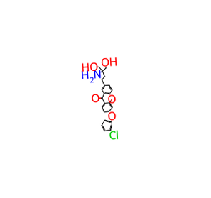 NC(CO)(CO)CCc1ccc2oc3cc(Oc4cccc(Cl)c4)ccc3c(=O)c2c1